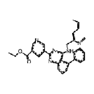 C=N/C(=C\C=C/C)CNc1nc(-c2cncc(C(=O)OCC)c2)nc2cccc(-c3ccccc3)c12